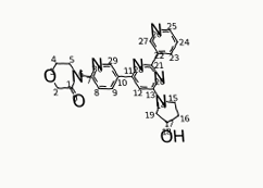 O=C1COCCN1c1ccc(-c2cc(N3CC[C@H](O)C3)nc(-c3cccnc3)n2)cn1